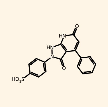 O=c1cc(-c2ccccc2)c2c(=O)n(-c3ccc(S(=O)(=O)O)cc3)[nH]c2[nH]1